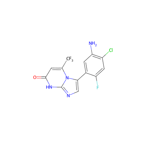 Nc1cc(-c2cnc3[nH]c(=O)cc(C(F)(F)F)n23)c(F)cc1Cl